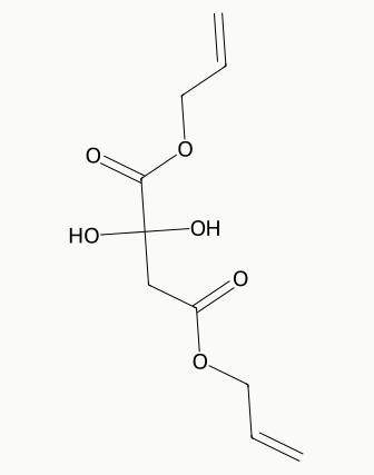 C=CCOC(=O)CC(O)(O)C(=O)OCC=C